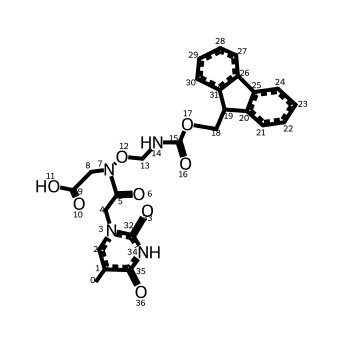 Cc1cn(CC(=O)N(CC(=O)O)OCNC(=O)OCC2c3ccccc3-c3ccccc32)c(=O)[nH]c1=O